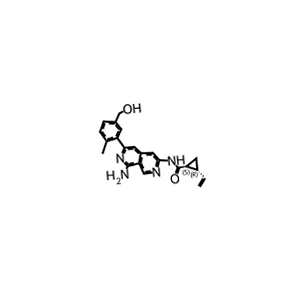 C=C[C@H]1C[C@@H]1C(=O)Nc1cc2cc(-c3cc(CO)ccc3C)nc(N)c2cn1